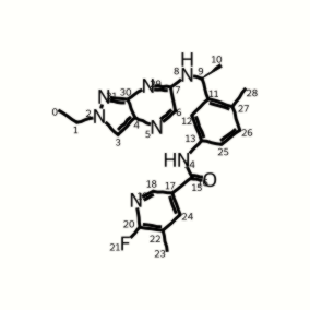 CCn1cc2ncc(N[C@@H](C)c3cc(NC(=O)c4cnc(F)c(C)c4)ccc3C)nc2n1